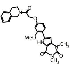 COc1cc(OCC(=O)N2CCc3ccccc3C2)ccc1-c1cc2c([nH]1)c(=O)n(C)c(=O)n2C